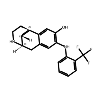 Oc1cc2c(cc1Nc1ccccc1C(F)(F)F)C[C@H]1NCC[C@@]23CCCC[C@@H]13